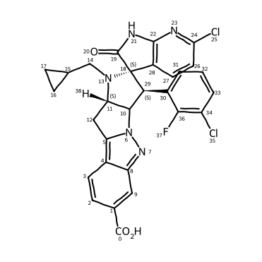 O=C(O)c1ccc2c3n(nc2c1)C1[C@H](C3)N(CC2CC2)[C@@]2(C(=O)Nc3nc(Cl)ccc32)[C@H]1c1cccc(Cl)c1F